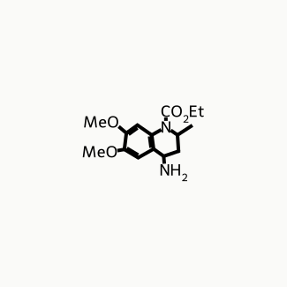 CCOC(=O)N1c2cc(OC)c(OC)cc2C(N)CC1C